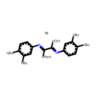 CCCCCCCCC(=N\c1ccc(CCCC)c(CCCC)c1)/C(CCCCC)=N/c1ccc(CCCC)c(CCCC)c1.[Ni]